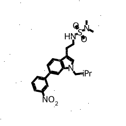 CC(C)Cn1cc(CCNS(=O)(=O)N(C)C)c2ccc(-c3cccc([N+](=O)[O-])c3)cc21